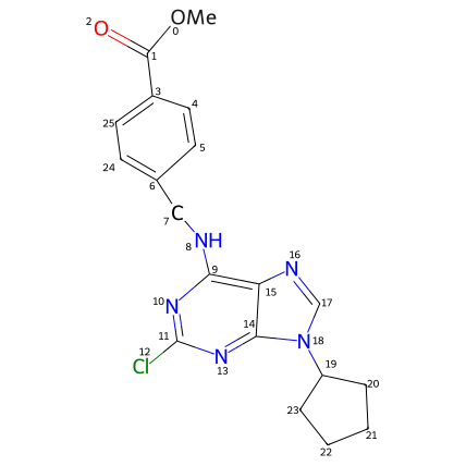 COC(=O)c1ccc(CNc2nc(Cl)nc3c2ncn3C2CCCC2)cc1